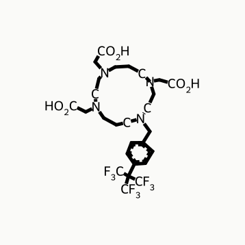 O=C(O)CN1CCCN(CC(=O)O)CCN(Cc2ccc(C(C(F)(F)F)(C(F)(F)F)C(F)(F)F)cc2)CCCN(CC(=O)O)CC1